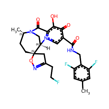 Cc1cc(F)c(CNC(=O)c2cn3c(c(O)c2=O)C(=O)N2C[C@@H]3[C@]3(CC[C@@H]2C)CC(CCF)=NO3)c(F)c1